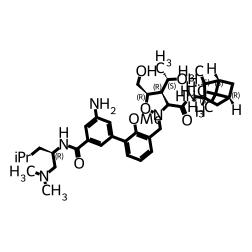 COc1c(CN2O[C@@H](CO)[C@@H]([C@H](C)O)C2C(=O)N[C@H]2C[C@H]3C[C@@H]([C@@H]2C)C3(C)C)cccc1-c1cc(N)cc(C(=O)N[C@H](CC(C)C)CN(C)C)c1